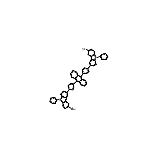 CC(C)(C)c1ccc2c(c1)c1cc(-c3ccc(-c4c5ccccc5c(-c5ccc(-c6ccc7c(c6)c6cc(C(C)(C)C)ccc6n7-c6ccccc6)cc5)c5ccccc45)cc3)ccc1n2-c1ccccc1